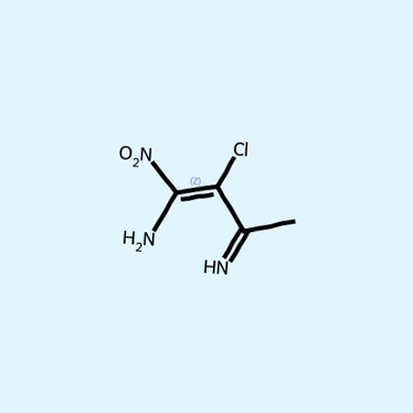 CC(=N)/C(Cl)=C(\N)[N+](=O)[O-]